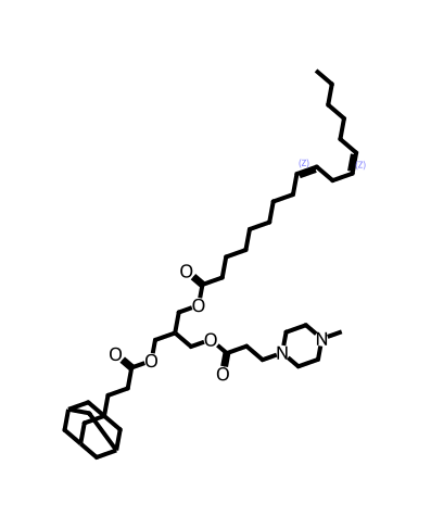 CCCCC/C=C\C/C=C\CCCCCCCC(=O)OCC(COC(=O)CCN1CCN(C)CC1)COC(=O)CCC12CC3CC(CC(C3)C1)C2